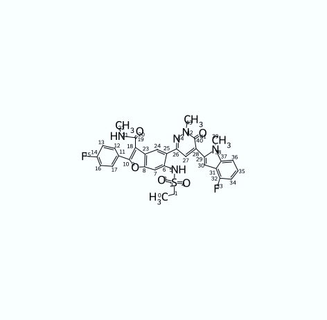 CCS(=O)(=O)Nc1cc2oc(-c3ccc(F)cc3)c(C(=O)NC)c2cc1-c1cc(-c2cc3c(F)cccc3n2C)c(=O)n(C)n1